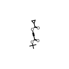 CC(C)(C)OC(=O)C#COC(=O)C1CC1